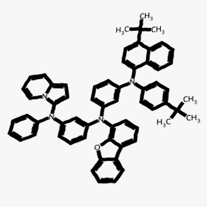 CC(C)(C)c1ccc(N(c2cccc(N(c3cccc(N(c4ccccc4)c4ccc5ccccn45)c3)c3cccc4c3oc3ccccc34)c2)c2ccc(C(C)(C)C)c3ccccc23)cc1